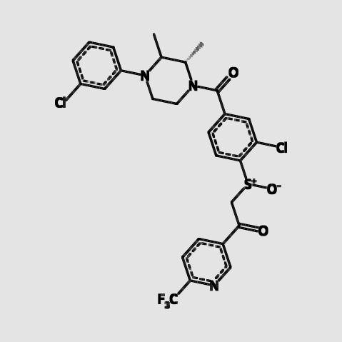 CC1[C@H](C)N(C(=O)c2ccc([S+]([O-])CC(=O)c3ccc(C(F)(F)F)nc3)c(Cl)c2)CCN1c1cccc(Cl)c1